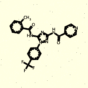 Cc1ccccc1C(=O)Nc1nc(NC(=O)c2ccncc2)nn1-c1ccc(C(F)(F)F)cc1